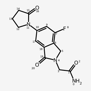 NC(=O)CN1Cc2c(F)cc(N3CCCC3=O)cc2C1=O